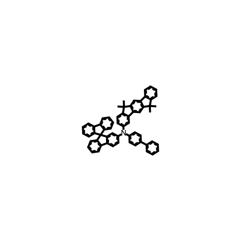 CC1(C)c2ccccc2-c2cc3c(cc21)-c1cc(N(c2ccc(-c4ccccc4)cc2)c2ccc4c(c2)C2(c5ccccc5-c5ccccc52)c2ccccc2-4)ccc1C3(C)C